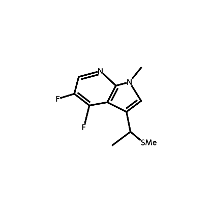 CSC(C)c1cn(C)c2ncc(F)c(F)c12